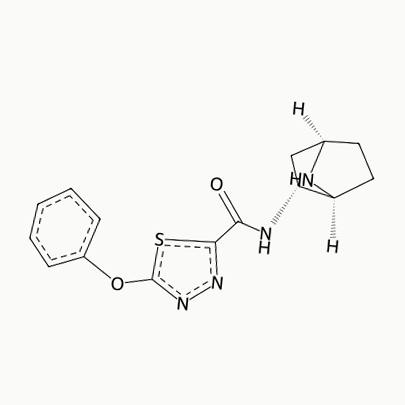 O=C(N[C@@H]1C[C@H]2CC[C@@H]1N2)c1nnc(Oc2ccccc2)s1